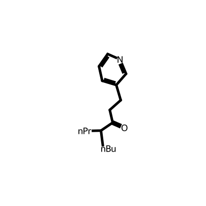 CCCCC(CCC)C(=O)CCc1cccnc1